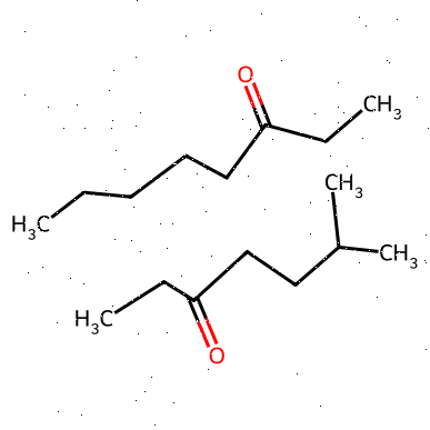 CCC(=O)CCC(C)C.CCCCCC(=O)CC